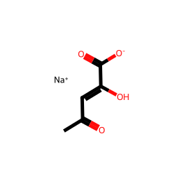 CC(=O)/C=C(\O)C(=O)[O-].[Na+]